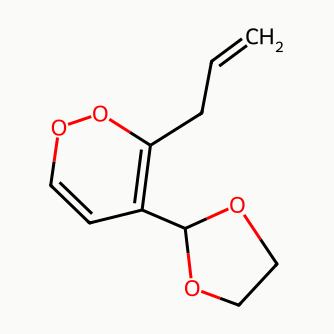 C=CCC1=C(C2OCCO2)C=COO1